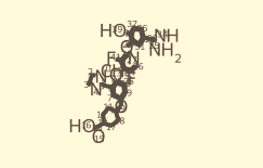 CN1CC=NC1c1cc(OC2CCC(C(=O)O)CC2)ccc1Oc1c(F)cnc(Oc2cc(C(=N)N)ccc2O)c1F